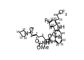 COC(=O)NC(CCC=CC(=O)N1CCCC1)C(=O)Nc1cccn(Cc2cc3cc(F)cc(CCC(F)(F)F)c3[nH]2)c1=O